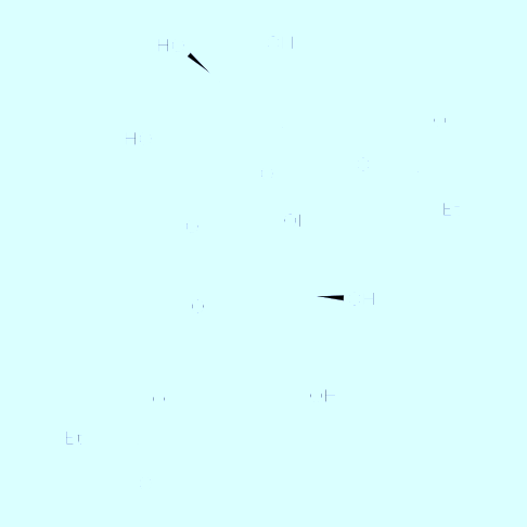 CCC(=O)OCC1O[C@H](O[C@H]2OC(COC(=O)CC)[C@@H](O)[C@H](O)C2O)C(O)[C@@H](O)[C@@H]1O